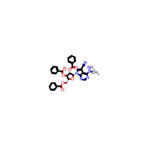 CN(N)c1ncnc2c1c(C#N)cn2[C@@H]1O[C@H](COC(=O)c2ccccc2)C(OC(=O)c2ccccc2)[C@@H]1OC(=O)c1ccccc1